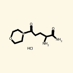 Cl.NC(=O)C(N)CCC(=O)N1CCOCC1